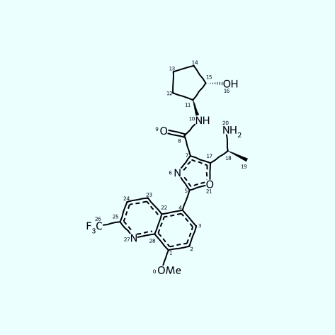 COc1ccc(-c2nc(C(=O)N[C@H]3CCC[C@@H]3O)c([C@H](C)N)o2)c2ccc(C(F)(F)F)nc12